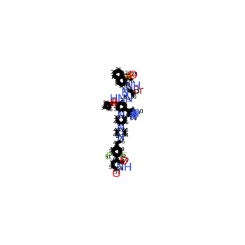 Cn1cc(-c2cc(Nc3ncc(Br)c(Nc4ccc5ccccc5c4P(C)(C)=O)n3)c(OC3CCC3)cc2N2CCC(N3CCN(CCc4cc(F)c([C@@H]5CCC(=O)NC5=O)c(F)c4)CC3)CC2)cn1